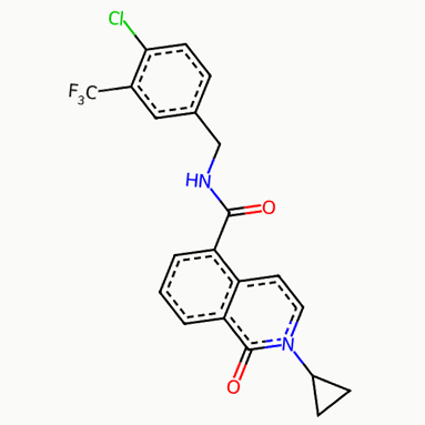 O=C(NCc1ccc(Cl)c(C(F)(F)F)c1)c1cccc2c(=O)n(C3CC3)ccc12